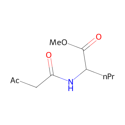 CCCC(NC(=O)CC(C)=O)C(=O)OC